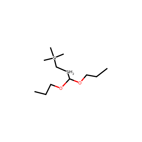 CCCOC(OCCC)[SiH2]C[Si](C)(C)C